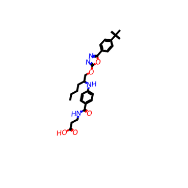 CCCCC(COc1nnc(-c2ccc(C(C)(C)C)cc2)o1)Nc1ccc(C(=O)NCCC(=O)O)cc1